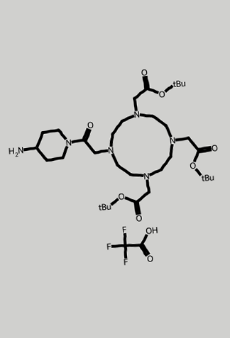 CC(C)(C)OC(=O)CN1CCN(CC(=O)OC(C)(C)C)CCN(CC(=O)N2CCC(N)CC2)CCN(CC(=O)OC(C)(C)C)CC1.O=C(O)C(F)(F)F